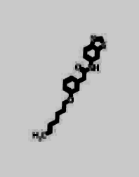 CC=CCCCCOc1cccc(CC(=O)Nc2ccc3ncsc3c2)c1